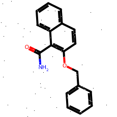 NC(=O)c1c(OCc2ccccc2)ccc2ccccc12